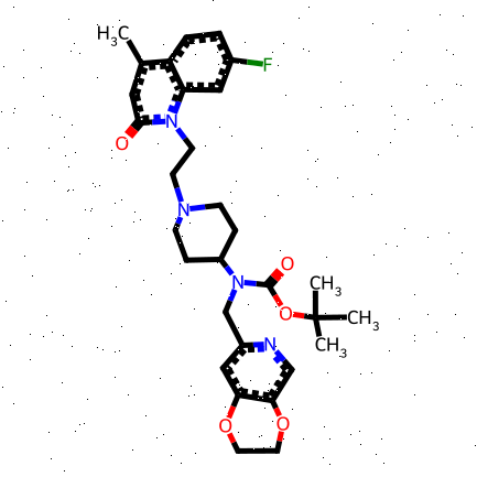 Cc1cc(=O)n(CCN2CCC(N(Cc3cc4c(cn3)OCCO4)C(=O)OC(C)(C)C)CC2)c2cc(F)ccc12